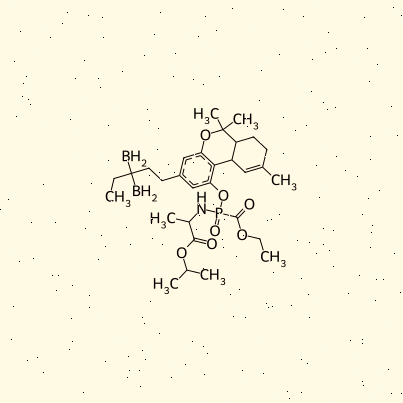 BC(B)(CC)CCc1cc2c(c(OP(=O)(NC(C)C(=O)OC(C)C)C(=O)OCC)c1)C1C=C(C)CCC1C(C)(C)O2